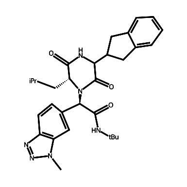 CC(C)C[C@@H]1C(=O)NC(C2Cc3ccccc3C2)C(=O)N1[C@@H](C(=O)NC(C)(C)C)c1ccc2nnn(C)c2c1